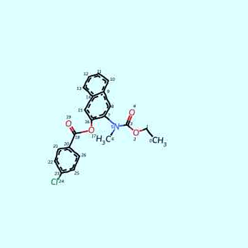 CCOC(=O)N(C)c1cc2ccccc2cc1OC(=O)c1ccc(Cl)cc1